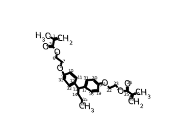 C=C(C)C(=O)OCCOc1ccc(C(CCC)c2ccc(OCCOC(=O)C(=C)C)cc2)cc1